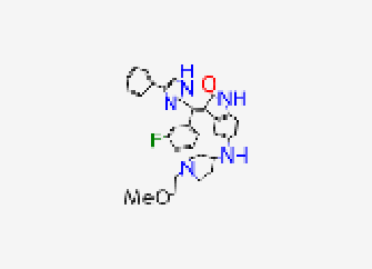 COCCN1CCC(Nc2ccc3c(c2)/C(=C(\c2cccc(F)c2)c2nc(-c4ccccc4)c[nH]2)C(=O)N3)CC1